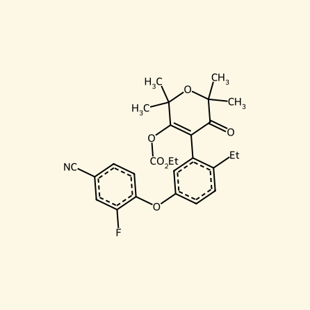 CCOC(=O)OC1=C(c2cc(Oc3ccc(C#N)cc3F)ccc2CC)C(=O)C(C)(C)OC1(C)C